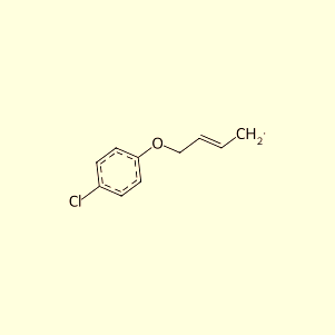 [CH2]/C=C/COc1ccc(Cl)cc1